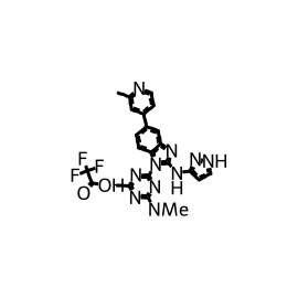 CNc1nc(C)nc(-n2c(Nc3cc[nH]n3)nc3cc(-c4ccnc(C)c4)ccc32)n1.O=C(O)C(F)(F)F